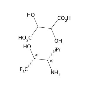 CC(C)[C@H](N)[C@@H](O)C(F)(F)F.O=C(O)C(O)C(O)C(=O)O